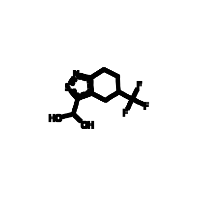 OC(O)c1snc2c1CC(C(F)(F)F)CC2